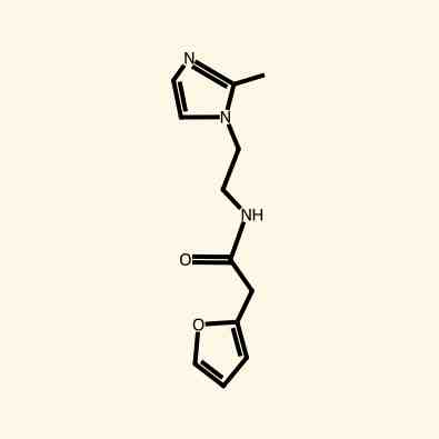 Cc1nccn1CCNC(=O)Cc1ccco1